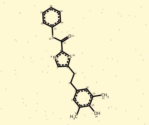 Cc1cc(CCc2cnc(C(=O)Sc3ccccc3)s2)cc(C)c1O